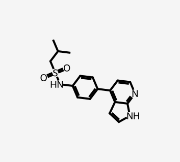 CC(C)CS(=O)(=O)Nc1ccc(-c2ccnc3[nH]ccc23)cc1